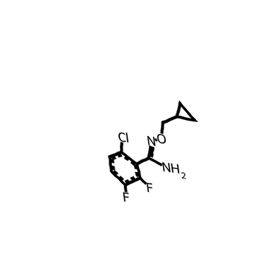 NC(=NOCC1CC1)c1c(Cl)ccc(F)c1F